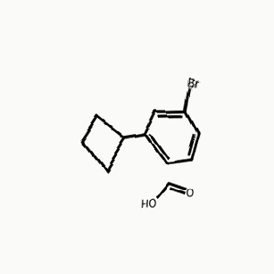 Brc1cccc(C2CCC2)c1.O=CO